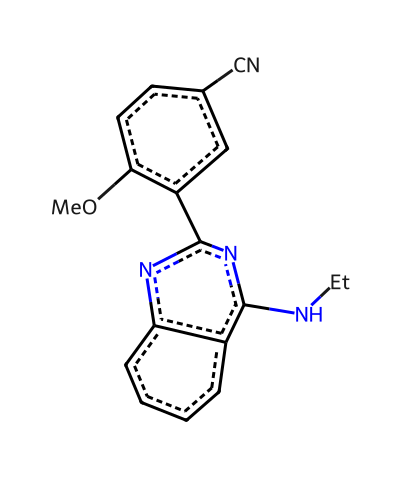 CCNc1nc(-c2cc(C#N)ccc2OC)nc2ccccc12